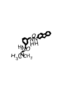 CN(C)CCNC(=O)c1cccc(CNC(=O)Nc2ccc3c(c2)Cc2ccccc2-3)c1